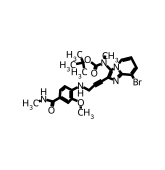 CNC(=O)c1ccc(NCC#Cc2nc3c(Br)cccn3c2N(C)C(=O)OC(C)(C)C)c(OC)c1